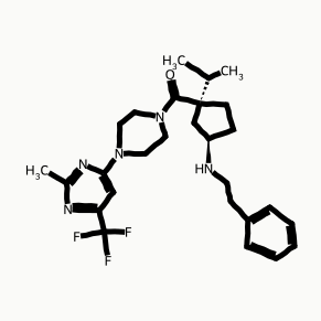 Cc1nc(N2CCN(C(=O)[C@@]3(C(C)C)CC[C@@H](NCCc4ccccc4)C3)CC2)cc(C(F)(F)F)n1